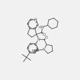 CC(C)(C)c1ccc(N(C(=O)C2CCCN2C#N)C2(C(=O)NC3CCCCC3)CCc3ccncc32)cc1